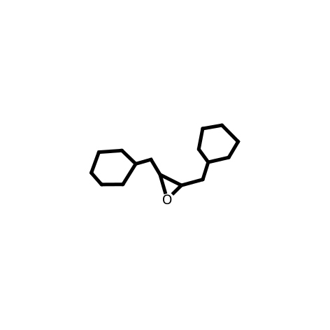 C1CCC(CC2OC2CC2CCCCC2)CC1